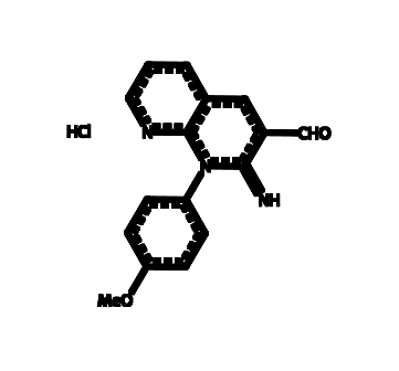 COc1ccc(-n2c(=N)c(C=O)cc3cccnc32)cc1.Cl